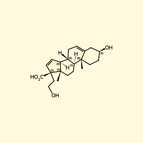 C[C@]12CC[C@H](O)CC1=CC[C@@H]1[C@@H]2CC[C@@]2(C)[C@H]1C=C[C@]2(CCO)C(=O)O